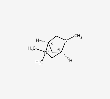 CN1C[C@H]2C[C@@H]1C[N+]2(C)C